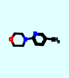 Bc1ccc(N2CCOCC2)nc1